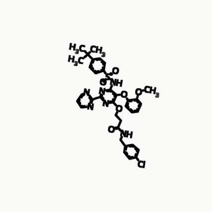 COc1ccccc1Oc1c(NS(=O)(=O)c2ccc(C(C)(C)C)cc2)nc(-c2ncccn2)nc1OCCC(=O)NCc1ccc(Cl)cc1